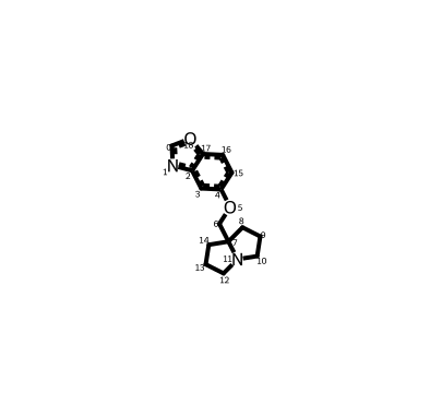 c1nc2cc(OCC34CCCN3CCC4)ccc2o1